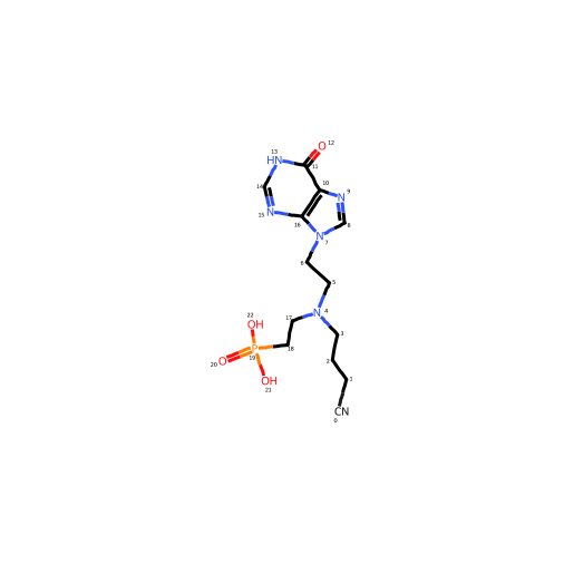 N#CCCCN(CCn1cnc2c(=O)[nH]cnc21)CCP(=O)(O)O